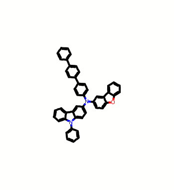 c1ccc(-c2ccc(-c3ccc(N(c4ccc5oc6ccccc6c5c4)c4ccc5c(c4)c4ccccc4n5-c4ccccc4)cc3)cc2)cc1